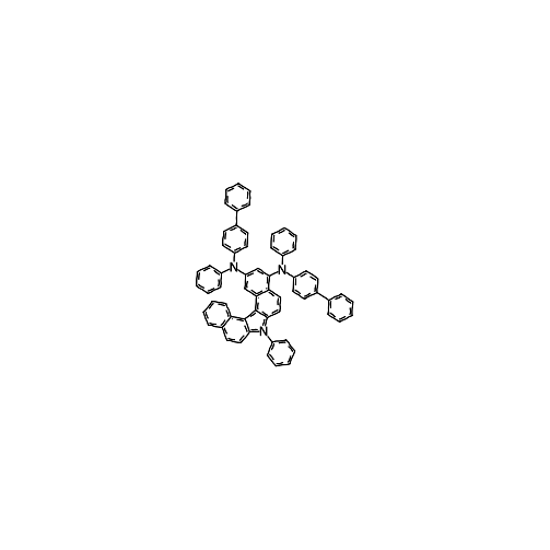 c1ccc(-c2ccc(N(c3ccccc3)c3cc(N(c4ccccc4)c4ccc(-c5ccccc5)cc4)c4ccc5c(c4c3)c3c4ccccc4ccc3n5-c3ccccc3)cc2)cc1